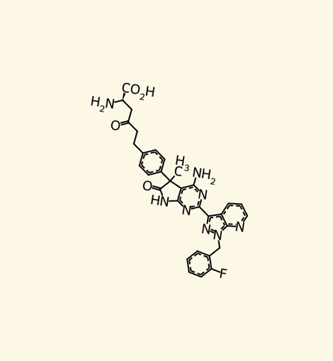 CC1(c2ccc(CCC(=O)C[C@@H](N)C(=O)O)cc2)C(=O)Nc2nc(-c3nn(Cc4ccccc4F)c4ncccc34)nc(N)c21